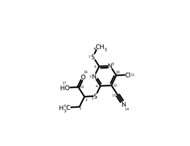 CCC(Sc1nc(SC)nc(Cl)c1C#N)C(=O)O